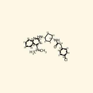 CN(C)c1nc(N[C@H]2CC[C@@H](NC(=O)Cc3ccc(Cl)cc3)CC2)nc2ccccc12